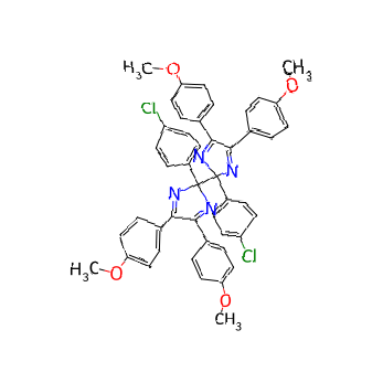 COc1ccc(C2=NC(c3ccc(Cl)cc3)(C3(c4ccc(Cl)cc4)N=C(c4ccc(OC)cc4)C(c4ccc(OC)cc4)=N3)N=C2c2ccc(OC)cc2)cc1